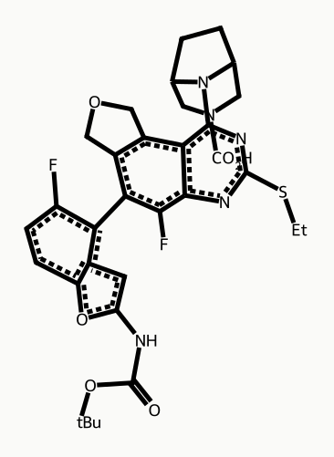 CCSc1nc(N2C3CCC2CN(C(=O)O)C3)c2c3c(c(-c4c(F)ccc5oc(NC(=O)OC(C)(C)C)cc45)c(F)c2n1)COC3